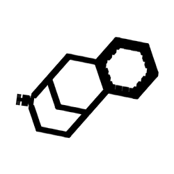 c1ccc2c(c1)CC1CC2CCN1